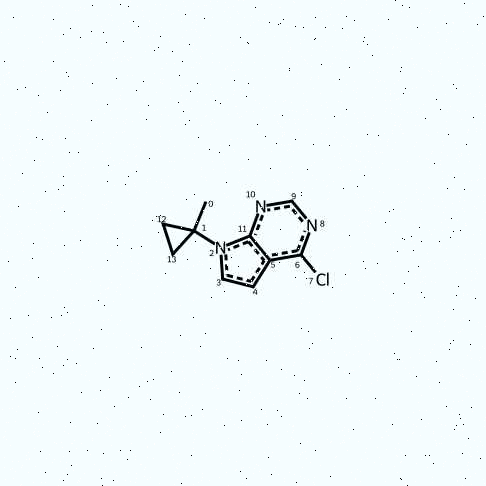 CC1(n2ccc3c(Cl)ncnc32)CC1